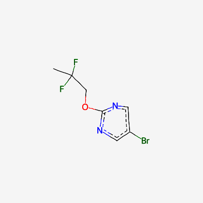 CC(F)(F)COc1ncc(Br)cn1